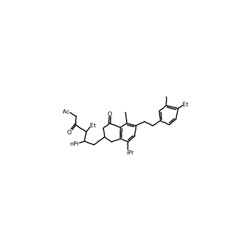 CCCC(CC1CC(=O)c2c(C)c(CCc3ccc(CC)c(C)c3)cc(C(C)C)c2C1)C(CC)C(=O)CC(C)=O